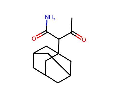 CC(=O)C(C(N)=O)C12CC3CC(CC(C3)C1)C2